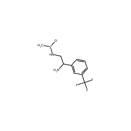 C[S+]([O-])NCC(N)c1cccc(C(F)(F)F)c1